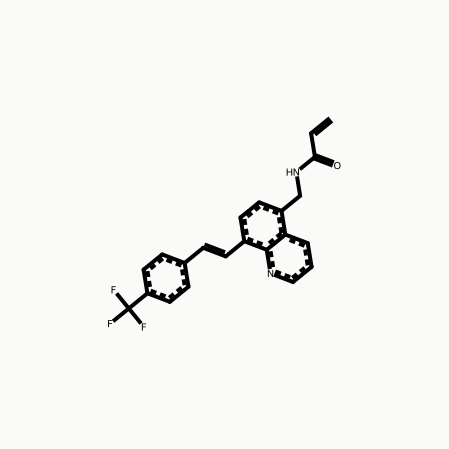 C=CC(=O)NCc1ccc(C=Cc2ccc(C(F)(F)F)cc2)c2ncccc12